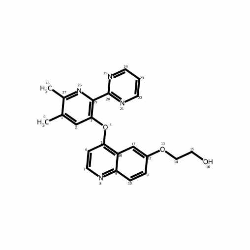 Cc1cc(Oc2ccnc3ccc(OCCO)cc23)c(-c2ncccn2)nc1C